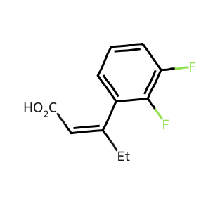 CC/C(=C/C(=O)O)c1cccc(F)c1F